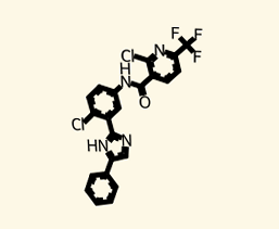 O=C(Nc1ccc(Cl)c(-c2ncc(-c3ccccc3)[nH]2)c1)c1ccc(C(F)(F)F)nc1Cl